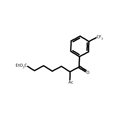 CCOC(=O)CCCCC(C(C)=O)C(=O)c1cccc(C(F)(F)F)c1